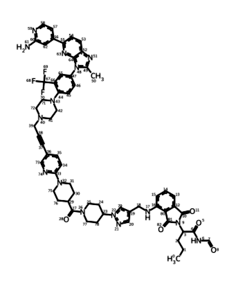 CCCC(C(=O)NC=O)N1C(=O)c2cccc(NCc3cnn(C4CCN(C(=O)C5CCN(c6ccc(C#CCN7CCN(c8ccc(-n9c(C)nc%10ccc(-c%11ccnc(N)c%11)nc%109)cc8C(F)(F)F)CC7)cn6)CC5)CC4)c3)c2C1=O